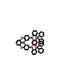 c1ccc([Si]2(c3ccccc3)c3ccccc3N(c3ccc4c(c3)B3c5cc(N6c7ccccc7[Si](c7ccccc7)(c7ccccc7)c7ccccc76)ccc5Sc5cccc(c53)S4)c3ccccc32)cc1